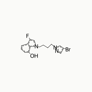 Oc1cccc2c(F)cn(CCCCn3cc(Br)cn3)c12